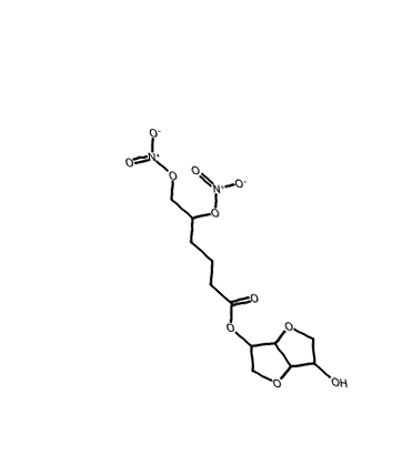 O=C(CCCC(CO[N+](=O)[O-])O[N+](=O)[O-])OC1COC2C(O)COC12